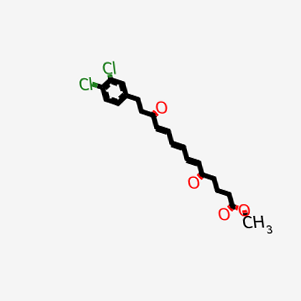 COC(=O)CCCC(=O)/C=C/C=C/C=C/C(=O)CCc1ccc(Cl)c(Cl)c1